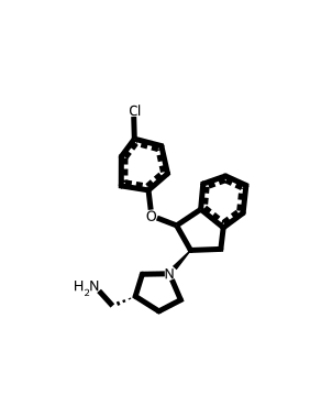 NC[C@H]1CCN([C@@H]2Cc3ccccc3C2Oc2ccc(Cl)cc2)C1